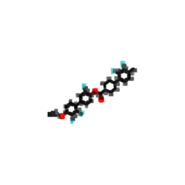 CCCCOc1ccc(-c2ccc(OC(=O)C3CCC(c4ccc(C)c(F)c4F)CC3)c(F)c2)c(F)c1F